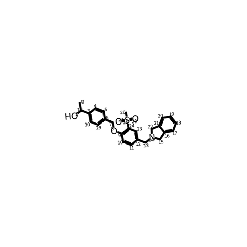 CC(O)c1ccc(COc2ccc(CN3Cc4ccccc4C3)cc2S(C)(=O)=O)cc1